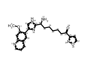 COc1cc2ncccc2cc1-c1c[nH]c(C(N)CCCCCC(=O)c2ccon2)n1